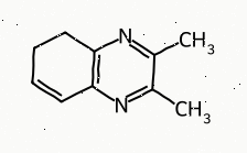 Cc1nc2c(nc1C)CCC=C2